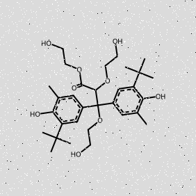 Cc1cc(C(OCCO)(c2cc(C)c(O)c(C(C)(C)C)c2)C(OCCO)C(=O)OCCO)cc(C(C)(C)C)c1O